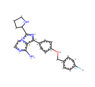 Nc1nccn2c(C3CCCN3)nc(-c3ccc(OCc4ccc(F)cc4)cc3)c12